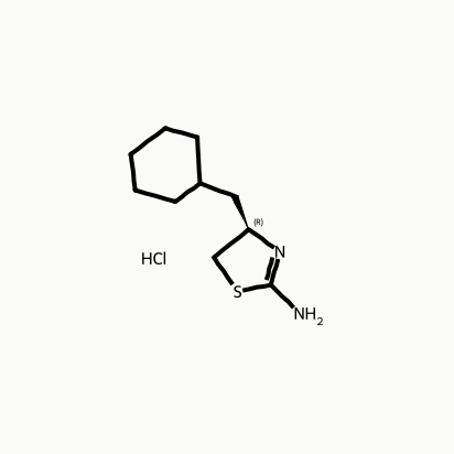 Cl.NC1=N[C@H](CC2CCCCC2)CS1